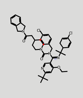 CCOc1cc(C(C)(C)C)ncc1/C(=N/C(C)(C)C1C=CC(Cl)=CC1)N(Cc1ccc(Cl)cc1)C(=O)N1CCC(CC(=O)N2Cc3ccccc3C2)CC1